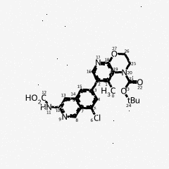 Cc1c(-c2cc(Cl)c3cnc(NC(=O)O)cc3c2)cnc2c1N(C(=O)OC(C)(C)C)CCO2